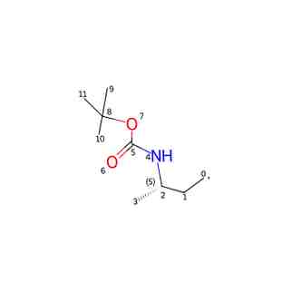 [CH2]C[C@H](C)NC(=O)OC(C)(C)C